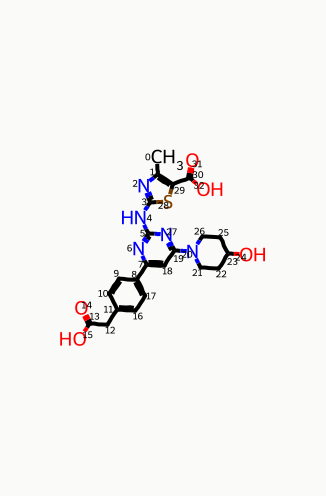 Cc1nc(Nc2nc(-c3ccc(CC(=O)O)cc3)cc(N3CCC(O)CC3)n2)sc1C(=O)O